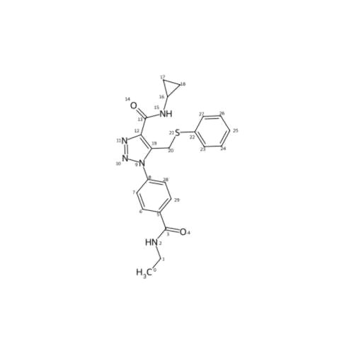 CCNC(=O)c1ccc(-n2nnc(C(=O)NC3CC3)c2CSc2ccccc2)cc1